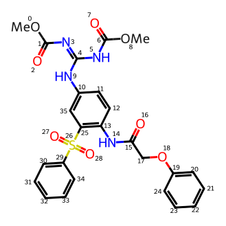 COC(=O)N=C(NC(=O)OC)Nc1ccc(NC(=O)COc2ccccc2)c(S(=O)(=O)c2ccccc2)c1